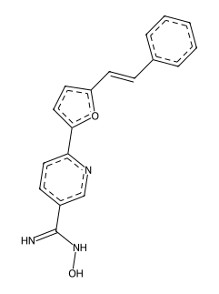 N=C(NO)c1ccc(-c2ccc(C=Cc3ccccc3)o2)nc1